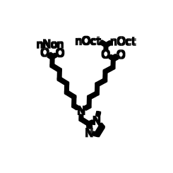 CCCCCCCCCOC(=O)CCCCCCCN(CCCCCCCC(=O)OC(CCCCCCCC)CCCCCCCC)Cc1nccn1C